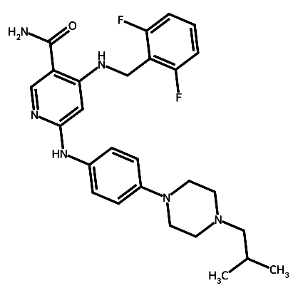 CC(C)CN1CCN(c2ccc(Nc3cc(NCc4c(F)cccc4F)c(C(N)=O)cn3)cc2)CC1